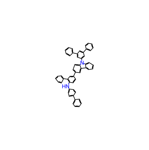 c1ccc(-c2ccc(Nc3ccc(-c4ccc5c(c4)c4ccccc4n5-c4cc(-c5ccccc5)cc(-c5ccccc5)c4)cc3-c3ccccc3)cc2)cc1